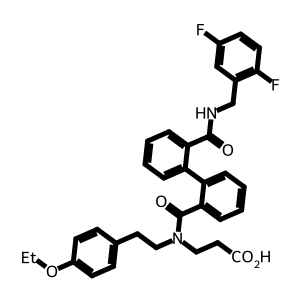 CCOc1ccc(CCN(CCC(=O)O)C(=O)c2ccccc2-c2ccccc2C(=O)NCc2cc(F)ccc2F)cc1